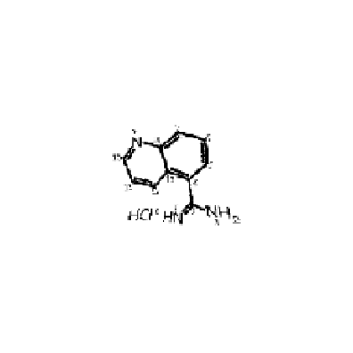 Cl.N=C(N)c1cccc2ncccc12